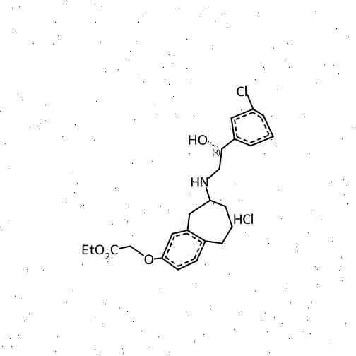 CCOC(=O)COc1ccc2c(c1)CC(NC[C@H](O)c1cccc(Cl)c1)CCC2.Cl